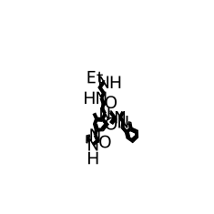 CCNCCNC(=O)CN(CC(=O)N(C)N1Cc2ccccc2C1)c1ccc(N2CCNC2=O)cc1C